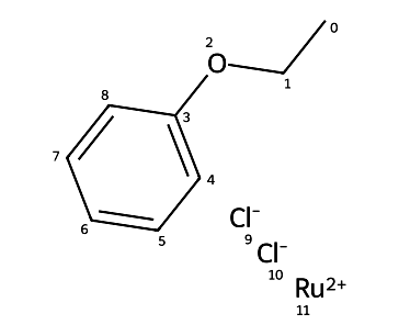 CCOc1ccccc1.[Cl-].[Cl-].[Ru+2]